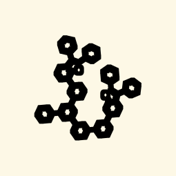 c1ccc(-c2cc(-c3cccc(-c4cccc(-c5ccc6c(-c7ccccc7)c(-c7ccccc7)oc6c5)c4)c3)cc(-c3cccc(-c4cccc5c(-c6ccccc6)c(-c6ccccc6)oc45)c3)c2)cc1